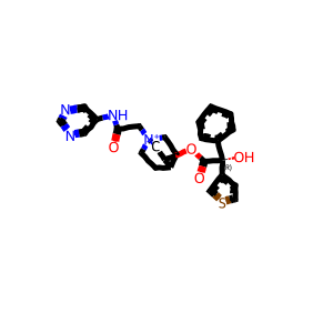 O=C(C[N+]12CCC(CC1)C(OC(=O)[C@@](O)(c1ccccc1)c1ccsc1)C2)Nc1cncnc1